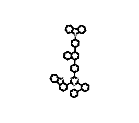 c1ccc(-c2ccccc2-c2nc(-c3ccc(-c4ccc(-c5ccc(-n6c7ccccc7c7ccccc76)cc5)c5ccccc45)cc3)nc(-c3cccc4c3sc3ccccc34)n2)cc1